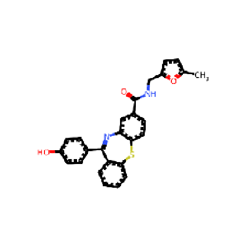 Cc1ccc(CNC(=O)c2ccc3c(c2)N=C(c2ccc(O)cc2)c2ccccc2S3)o1